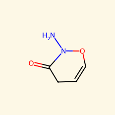 NN1OC=CCC1=O